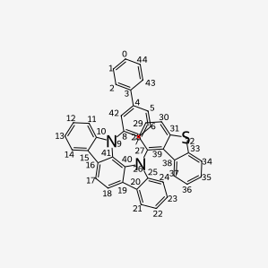 c1ccc(-c2cccc(-n3c4ccccc4c4ccc5c6ccccc6n(-c6cccc7sc8ccccc8c67)c5c43)c2)cc1